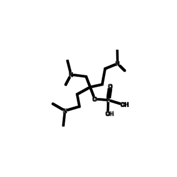 CN(C)CCC(CCN(C)C)(CN(C)C)OP(=O)(O)O